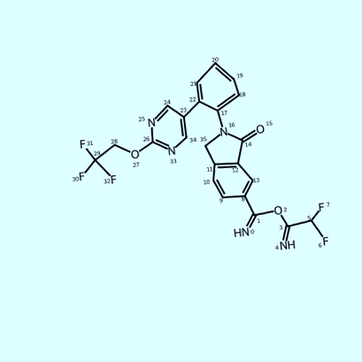 N=C(OC(=N)C(F)F)c1ccc2c(c1)C(=O)N(c1ccccc1-c1cnc(OCC(F)(F)F)nc1)C2